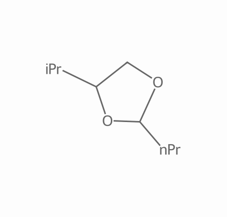 CCCC1OCC(C(C)C)O1